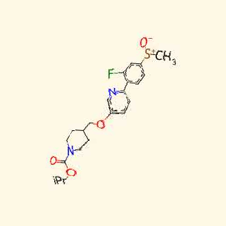 CC(C)OC(=O)N1CCC(COc2ccc(-c3ccc([S+](C)[O-])cc3F)nc2)CC1